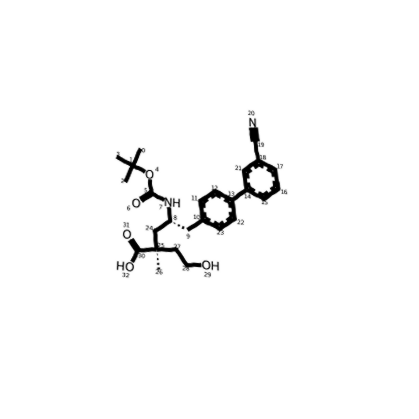 CC(C)(C)OC(=O)N[C@H](Cc1ccc(-c2cccc(C#N)c2)cc1)C[C@@](C)(CCO)C(=O)O